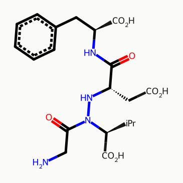 CC(C)[C@@H](C(=O)O)N(N[C@@H](CC(=O)O)C(=O)N[C@@H](Cc1ccccc1)C(=O)O)C(=O)CN